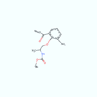 COC(=O)c1cccc([N+](=O)[O-])c1OCC(C)NC(=O)OC(C)(C)C